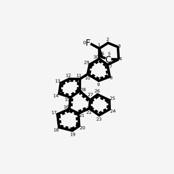 FC12CCC(CC1)c1ccc(-c3cccc4c5ccccc5c5ccccc5c34)cc12